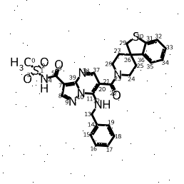 CS(=O)(=O)NC(=O)c1cnn2c(NCc3ccccc3)c(C(=O)N3CCC4(CC3)CSc3ccccc34)cnc12